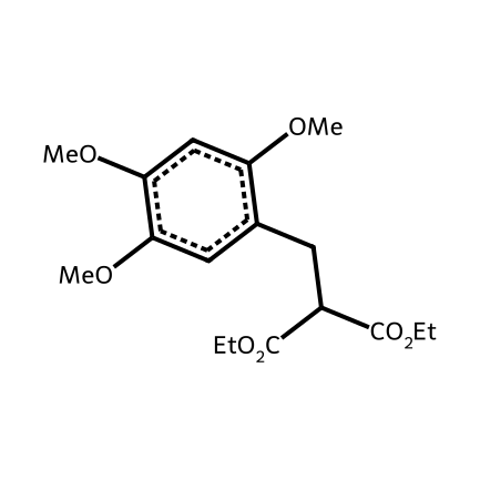 CCOC(=O)C(Cc1cc(OC)c(OC)cc1OC)C(=O)OCC